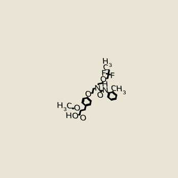 CCOC(Cc1ccc(OCCN(CCOCC(F)(F)CC)C(=O)Nc2ccccc2C)cc1)C(=O)O